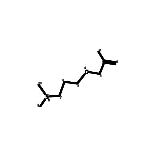 C=C(C)COCCC[Si](C)C